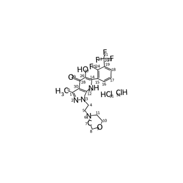 Cc1nn(CCN2CCOCC2)c2[nH]c(-c3cccc(C(F)(F)F)c3F)c(O)c(=O)c12.Cl.Cl